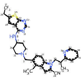 Cc1c(CN2CCC(Nc3ncnc4sc(CC(F)(F)F)cc34)CC2)ccc2c1cc(C#N)n2CC(C)c1ccccn1